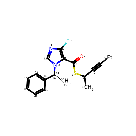 CCC#CC(C)SC(=O)c1c(F)ncn1[C@H](C)c1ccccc1